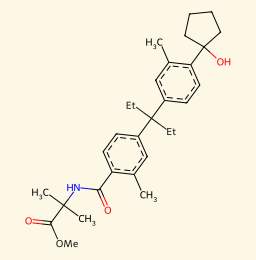 CCC(CC)(c1ccc(C(=O)NC(C)(C)C(=O)OC)c(C)c1)c1ccc(C2(O)CCCC2)c(C)c1